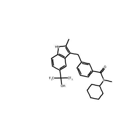 Cc1[nH]c2ccc(C(O)(C(F)(F)F)C(F)(F)F)cc2c1Cc1cccc(C(=O)N(C)C2CCCCC2)c1